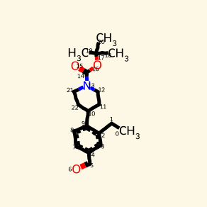 CCc1cc(C=O)ccc1C1CCN(C(=O)OC(C)(C)C)CC1